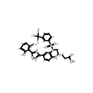 O=C(O)CC[C@H]1CN(S(=O)(=O)c2cccc(C(F)(F)F)c2)c2cc(-c3noc(-c4c(F)cccc4Cl)n3)ccc2O1